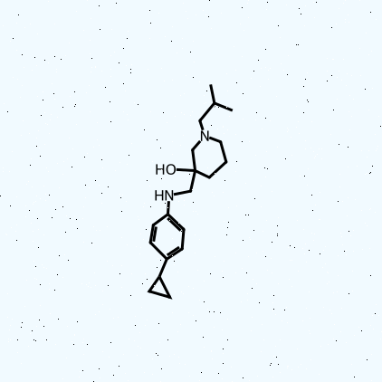 C[C](C)CN1CCCC(O)(CNc2ccc(C3CC3)cc2)C1